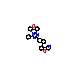 c1ccc(-c2nc(-c3ccc4c(-c5cccc6oc7ccncc7c56)cccc4c3)nc(-c3cccc4oc5ccccc5c34)n2)cc1